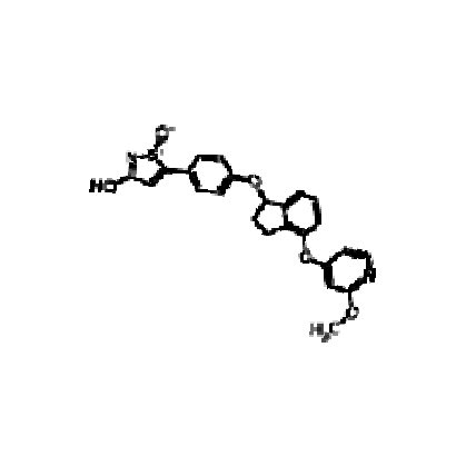 COc1cc(Oc2cccc3c2CCC3Oc2ccc(-c3cc(O)n[s+]3[O-])cc2)ccn1